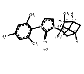 Cc1cc(C)c(-n2ccn([C@H]3C[C@H]4C[C@H]([C@@H]3C)C4(C)C)[c]2=[Ag])c(C)c1.Cl